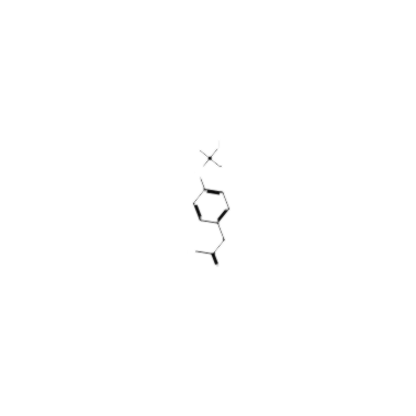 O=C(Cl)Cc1ccc(OC(F)(F)F)cc1